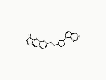 c1ncc2ccn(C3CCC(CCc4ccc5cc6nc[nH]c6nc5c4)C3)c2n1